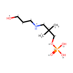 CC(C)(CNCCCO)COP(=O)(O)O